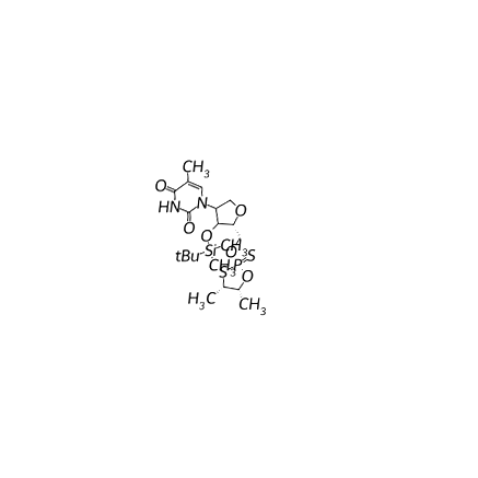 Cc1cn(C2CO[C@H](COP3(=S)O[C@H](C)[C@H](C)S3)C2O[Si](C)(C)C(C)(C)C)c(=O)[nH]c1=O